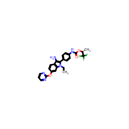 CCn1c(-c2ccc(NC(=O)O[C@H](C)C(F)(F)F)cc2)c(N)c2ccc(Oc3ncccn3)cc21